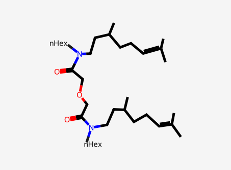 CCCCCCN(CCC(C)CCC=C(C)C)C(=O)COCC(=O)N(CCCCCC)CCC(C)CCC=C(C)C